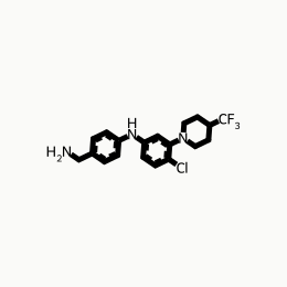 NCc1ccc(Nc2ccc(Cl)c(N3CCC(C(F)(F)F)CC3)c2)cc1